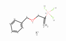 C=C(COCc1ccccc1)[B-](F)(F)F.[K+]